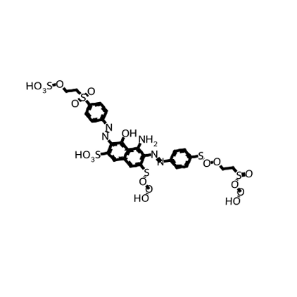 Nc1c(N=Nc2ccc(SOOCCS(=O)OOO)cc2)c(SOOO)cc2cc(S(=O)(=O)O)c(N=Nc3ccc(S(=O)(=O)CCOS(=O)(=O)O)cc3)c(O)c12